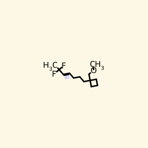 COCC1(CCC/C=C/C(C)(F)F)CCC1